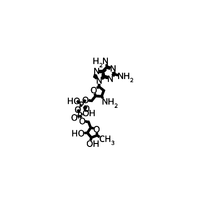 CC1OC(COP(=O)(O)OP(=O)(O)OCC2OC(n3cnc4c(N)nc(N)nc43)CC2N)C(O)C1O